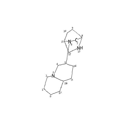 C1CCN2CC(N3CC4CCC3CN4)CCC2C1